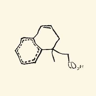 CC1(CC(=O)O)CC=Cc2ccccc21